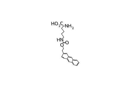 NC(CCCCNC(=O)OCCc1ccc2cc3ccccc3cc2c1)C(=O)O